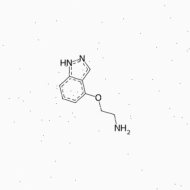 NCCOc1cccc2[nH]ncc12